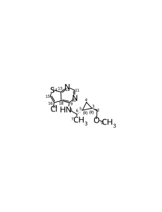 COC[C@@H]1C[C@H]1C(C)Nc1ncnc2scc(Cl)c12